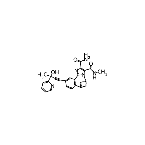 CNC(=O)c1c(C(N)=O)nc2n1C1C=C(C1)c1ccc(C#C[C@@](C)(O)c3ccccn3)cc1-2